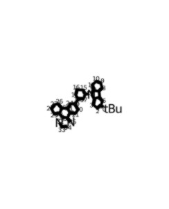 CC(C)(C)c1ccc2c(c1)c1ccccc1n2-c1cccc(-c2ccc3c(c2)c2ccccc2c2nccnc32)c1